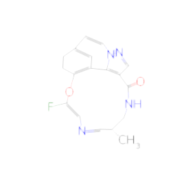 C[C@@H]1/C=N\C=C(/F)OC2=C3C=C(C=Cn4ncc(c43)C(=O)NC1)CC2